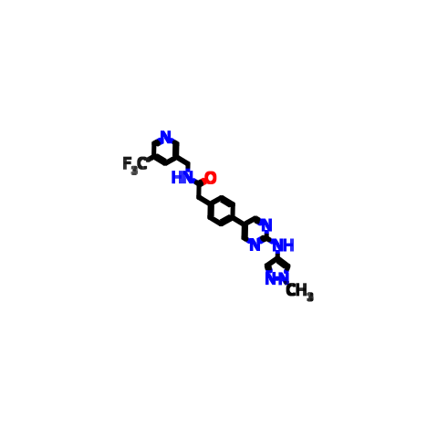 Cn1cc(Nc2ncc(-c3ccc(CC(=O)NCc4cncc(C(F)(F)F)c4)cc3)cn2)cn1